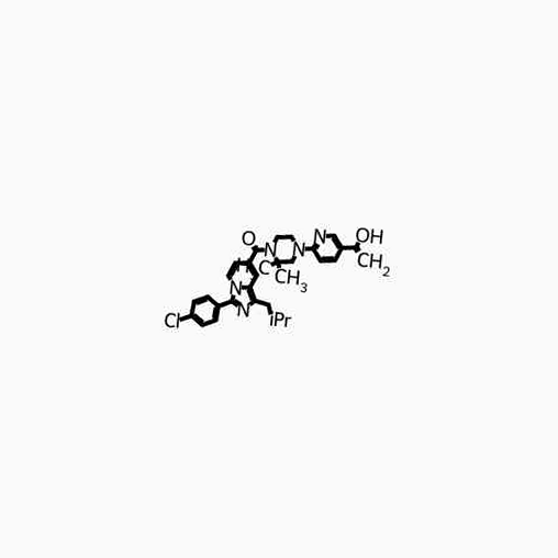 C=C(O)c1ccc(N2CCN(C(=O)c3ccn4c(-c5ccc(Cl)cc5)nc(CC(C)C)c4c3)C(C)(C)C2)nc1